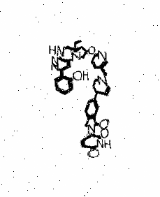 CC[C@]12CNc3nnc(-c4ccccc4O)cc3N1C[C@H](Oc1ccc(CN3CCC(c4ccc5c(c4)C(=O)N([C@H]4CCC(=O)NC4=O)C5)CC3)cn1)C2